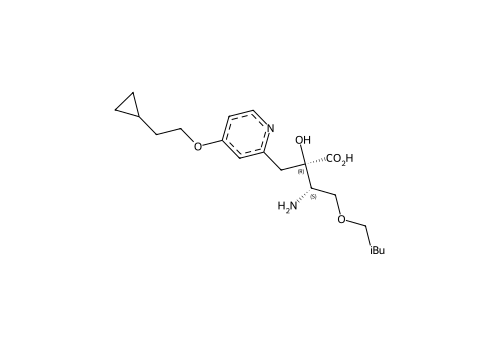 CCC(C)COC[C@H](N)[C@](O)(Cc1cc(OCCC2CC2)ccn1)C(=O)O